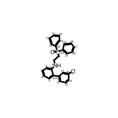 O=P(CCNc1ccccc1-c1cccc(Cl)c1)(c1ccccc1)c1ccccc1